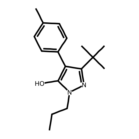 CCCn1nc(C(C)(C)C)c(-c2ccc(C)cc2)c1O